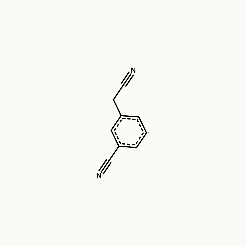 N#CCc1c[c]cc(C#N)c1